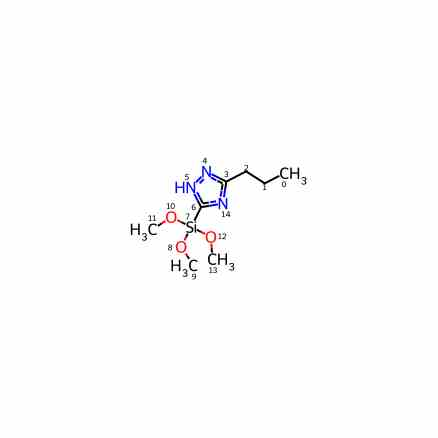 CCCc1n[nH]c([Si](OC)(OC)OC)n1